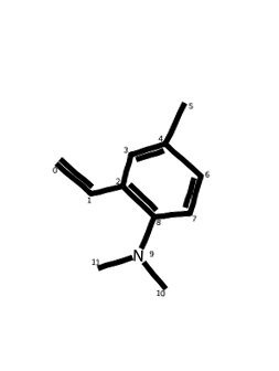 C=Cc1cc(C)ccc1N(C)C